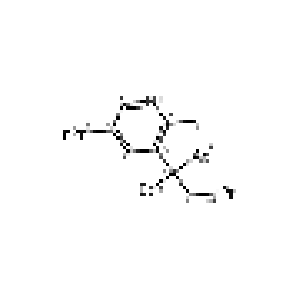 CCCc1cnc(C)c(C(CC)(CC(C)C)C(C)=O)c1